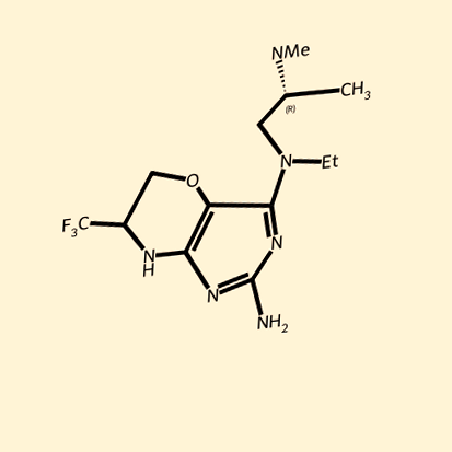 CCN(C[C@@H](C)NC)c1nc(N)nc2c1OCC(C(F)(F)F)N2